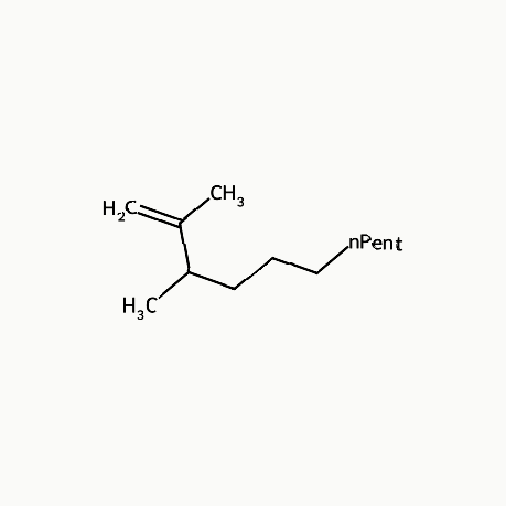 C=C(C)C(C)CCCCCCCC